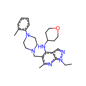 CCn1ncc2c(NC3CCOCC3)c(CN3CCN(c4ccccc4C)CC3)c(C)nc21